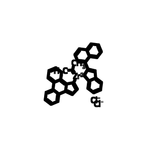 C[C](C)=[Zr+2]([C]1=CC=c2c1c1c(c3ccccc23)=CC=CC1)[CH]1C(c2cccc3ccccc23)=Cc2ccccc21.[Cl-].[Cl-]